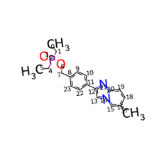 CCP(=O)(CC)OCc1ccc(-c2cn3cc(C)ccc3n2)cc1